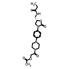 CCC(=S)NC[C@H]1CN(c2ccc(N3CCN(C(=O)COC(C)=O)CC3)cc2)C(=O)O1